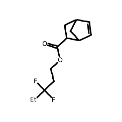 CCC(F)(F)CCOC(=O)C1CC2C=CC1C2